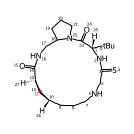 CC(C)(C)[C@@H]1NC(=S)CNCCC[C@H]2C[C@@H](C2)C(=O)NCC2CCCN2C1=O